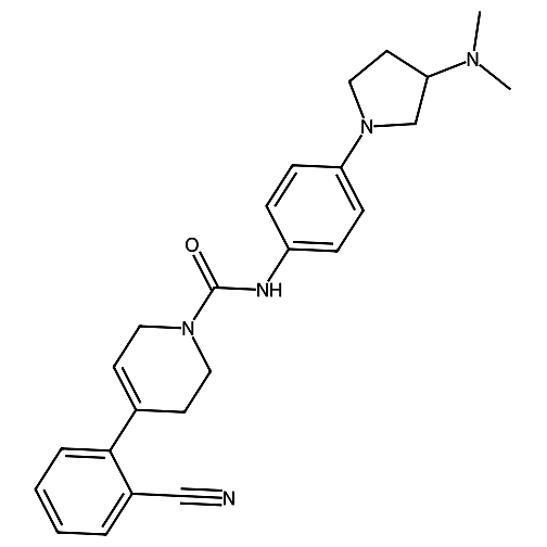 CN(C)C1CCN(c2ccc(NC(=O)N3CC=C(c4ccccc4C#N)CC3)cc2)C1